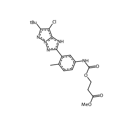 COC(=O)CCOC(=O)Nc1ccc(C)c(-c2nn3nc(C(C)(C)C)c(Cl)c3[nH]2)c1